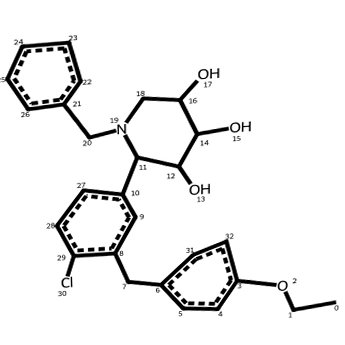 CCOc1ccc(Cc2cc(C3C(O)C(O)C(O)CN3Cc3ccccc3)ccc2Cl)cc1